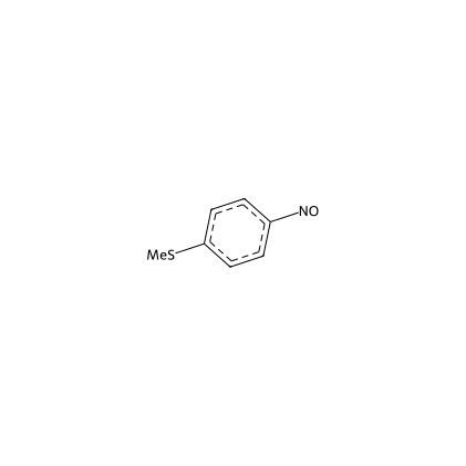 CSc1ccc(N=O)cc1